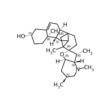 C[C@H]1C[C@H]2O[C@]3(CCC45CC3(C)C4C[C@H]3[C@H]5CC=C4C[C@@H](O)CC[C@@]43C)[C@H](C)[C@@H]2N(C)C1